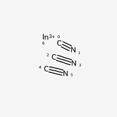 [C-]#N.[C-]#N.[C-]#N.[In+3]